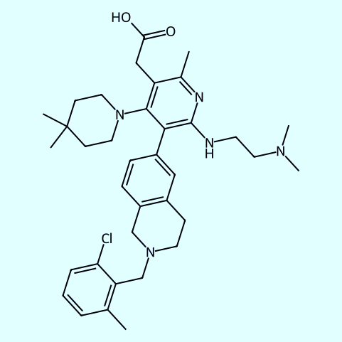 Cc1cccc(Cl)c1CN1CCc2cc(-c3c(NCCN(C)C)nc(C)c(CC(=O)O)c3N3CCC(C)(C)CC3)ccc2C1